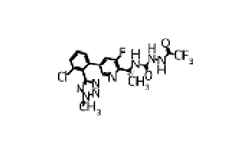 C[C@@H](NC(=O)NNC(=O)C(F)(F)F)c1ncc(-c2cccc(Cl)c2-c2nnn(C)n2)cc1F